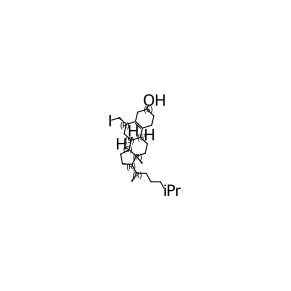 CC(C)CCC[C@@H](C)[C@H]1CC[C@H]2[C@@H]3C[C@@H](CI)C4=C(CC[C@H](O)C4)[C@H]3CC[C@]12C